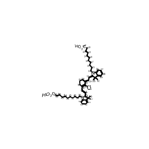 CC1(C)C(/C=C/C2=C(Cl)C(=C/C=C3/N(CCCCCCCCCCC(=O)O)c4ccccc4C3(C)C)/CCC2)=[N+](CCCCCCCCCCC(=O)O)c2ccccc21